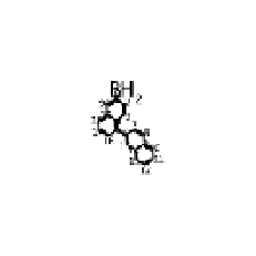 Bc1ccc2c(-c3ccc4ccccc4c3)cccc2c1